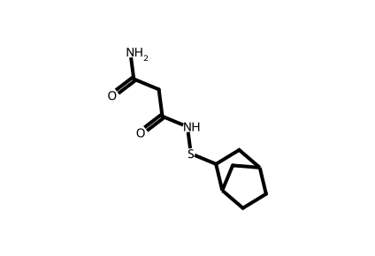 NC(=O)CC(=O)NSC1CC2CCC1C2